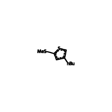 CCCCc1csc(SC)c1